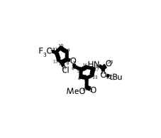 COC(=O)c1cc(COc2ccc(C(F)(F)F)cc2Cl)cc(NC(=O)OC(C)(C)C)c1